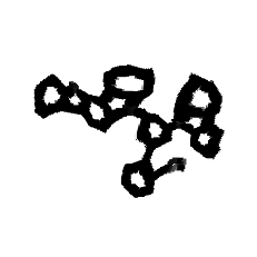 N#Cc1ccccc1-c1cc(-n2c3ccccc3c3ccccc32)cc(-n2c3ccccc3c3c4oc5ccccc5c4ccc32)c1